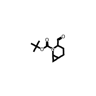 CC(C)(C)OC(=O)N1C(C=O)CCC2CC21